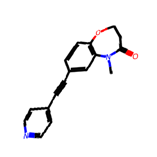 CN1C(=O)CCOc2ccc(C#Cc3ccncc3)cc21